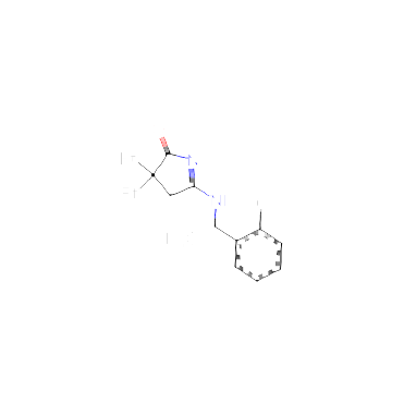 CCC1(CC)CC(N[C@@H](C)c2ccccc2C(F)(F)F)=NC1=O